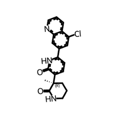 C[C@]1(c2ccc(-c3cc(Cl)c4cccnc4c3)[nH]c2=O)CCCNC1=O